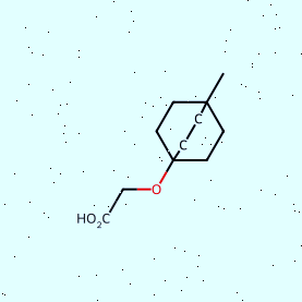 CC12CCC(OCC(=O)O)(CC1)CC2